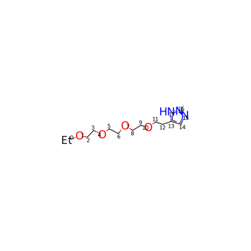 CCOCCOCCOCCOCCc1cnn[nH]1